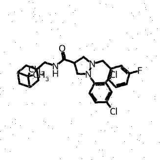 CC1(C)C2CC(CNC(=O)C3CN(Cc4cccc(F)c4)N(c4ccc(Cl)cc4Cl)C3)CC1C2